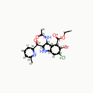 CCOC(=O)c1c(Br)c(Cl)cc2[nH]c(C(=O)c3cccc(C)n3)c(NC(C)=O)c12